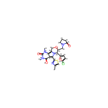 Cc1csc(-c2c3c(=O)n(C)c(=O)n(C)c3c3n2C(c2ccc(Cl)o2)C(CN2CCCC2=O)OC3)n1